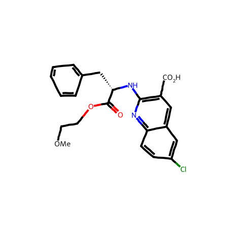 COCCOC(=O)[C@H](Cc1ccccc1)Nc1nc2ccc(Cl)cc2cc1C(=O)O